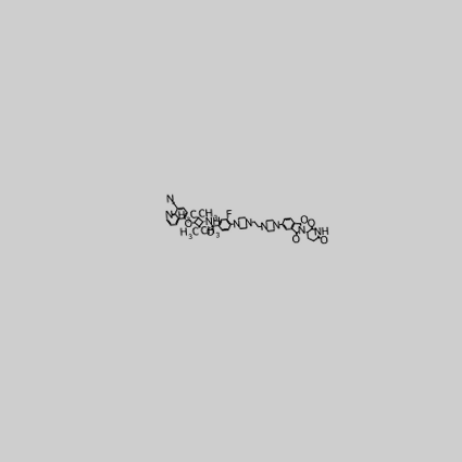 CC1(C)[C@H](NC(=O)c2ccc(N3CCN(CCN4CCN(c5ccc6c(c5)C(=O)N([C@H]5CCC(=O)NC5=O)C6=O)CC4)CC3)c(F)c2)C(C)(C)[C@H]1Oc1ccc(C#N)c2ncccc12